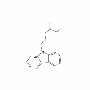 CCC(C)CCCn1c2ccccc2c2ccccc21